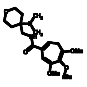 CCCCOC1=C(OC)CC=C(C(=O)NCC2(N(C)C)CCOCC2)C=C1OC